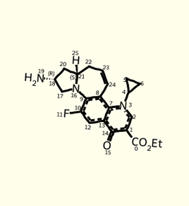 CCOC(=O)c1cn(C2CC2)c2c3c(c(F)cc2c1=O)N1C[C@H](N)C[C@@H]1CC=C3